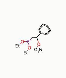 CCOP(CC(O[N+](=O)[O-])c1ccccc1)OCC